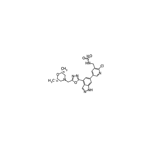 C[C@@H]1CN(Cc2nnc(-c3cc(-c4cnc(Cl)c(CN[SH](=O)=O)c4)cc4[nH]ncc34)o2)C[C@H](C)O1